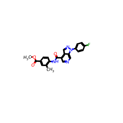 COC(=O)c1ccc(NC(=O)c2cncc3c2cnn3-c2ccc(F)cc2)c(C)c1